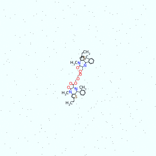 C=Cc1cc2c(s1)C(c1ccccc1C)=NC(COOCOCOC(=O)C1N=C(c3ccccc3C)c3sc(C=C)cc3N(C)C1=O)C(=O)N2C